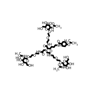 CC(=O)NC1C(OCCOCCNC(=O)CN(CC(=O)NCCOCCOC2OC(CO)C(O)C(O)C2NC(C)O)C(CCCCNC(=O)C2CCC(OC(C)C)CC2)C(=O)NCCOCCOC2OC(CO)C(O)C(O)C2NC(C)=O)OC(CO)C(O)C1O